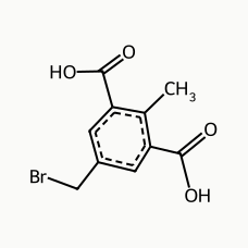 Cc1c(C(=O)O)cc(CBr)cc1C(=O)O